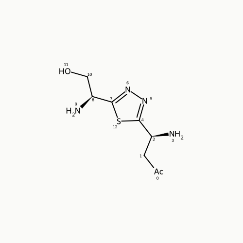 CC(=O)C[C@H](N)c1nnc([C@@H](N)CO)s1